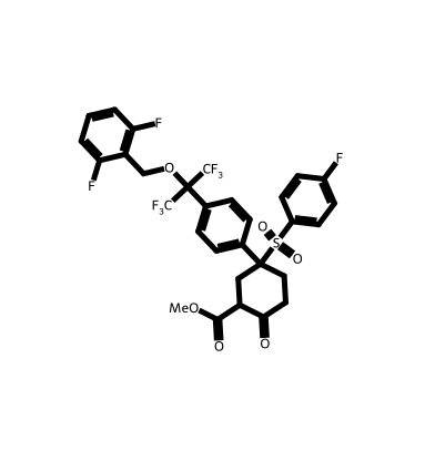 COC(=O)C1CC(c2ccc(C(OCc3c(F)cccc3F)(C(F)(F)F)C(F)(F)F)cc2)(S(=O)(=O)c2ccc(F)cc2)CCC1=O